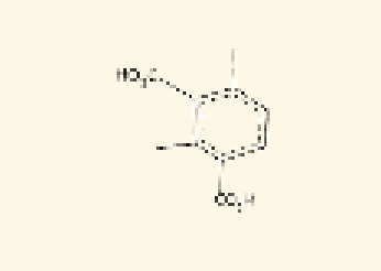 Cc1ccc(C(=O)O)c(C)c1C(=O)O